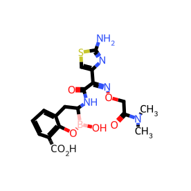 CN(C)C(=O)CON=C(C(=O)NC1Cc2cccc(C(=O)O)c2OB1O)c1csc(N)n1